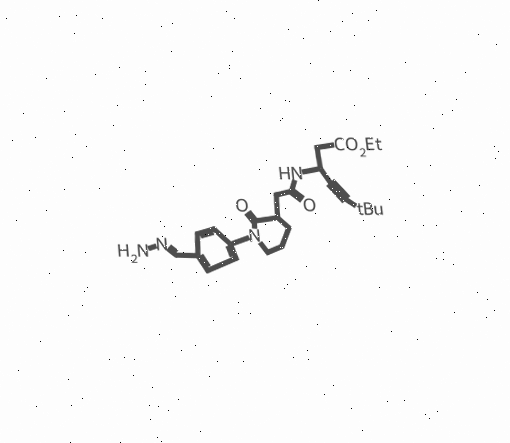 CCOC(=O)CC(C#CC(C)(C)C)NC(=O)CC1CCCN(c2ccc(C=NN)cc2)C1=O